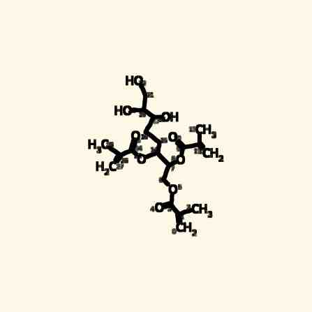 C=C(C)C(=O)OCC(OC(=O)C(=C)C)C(CCC(O)C(O)CO)OC(=O)C(=C)C